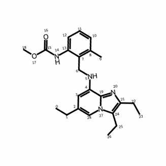 CCc1cc(NCc2c(C)cccc2NC(=O)OC)c2nc(CC)c(CC)n2c1